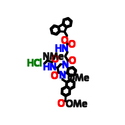 CNC(C)C(=O)NC1CN(C(=O)CCNC(=O)OCC2c3ccccc3-c3ccccc32)c2ccccc2N(Cc2c(OC)ccc3cc(C(=O)OC)ccc23)C1=O.Cl